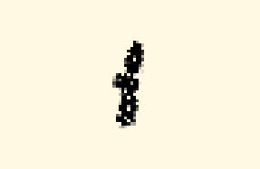 c1cc2cc3sc(-c4ccc(-c5cc6cc7sccc7cc6s5)c5nsnc45)cc3cc2s1